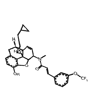 CN(C(=O)/C=C/c1cccc(OC(F)(F)F)c1)C1C=C[C@@]2(O)[C@H]3Cc4ccc(O)c5c4[C@@]2(CCN3CC2CC2)C1O5